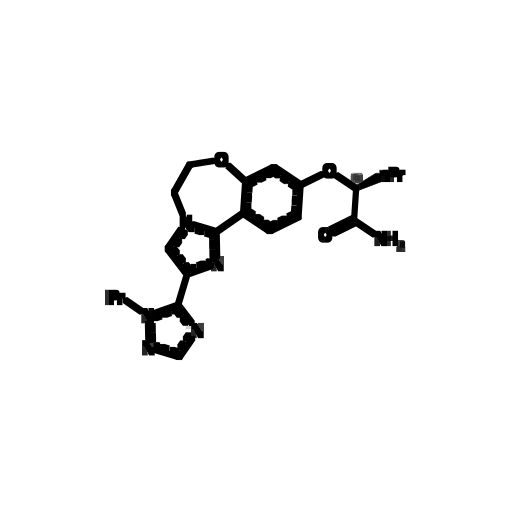 CCC[C@H](Oc1ccc2c(c1)OCCn1cc(-c3ncnn3C(C)C)nc1-2)C(N)=O